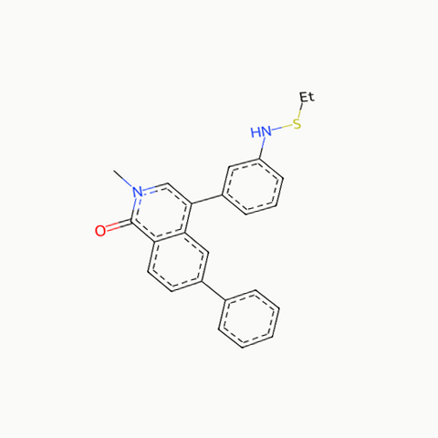 CCSNc1cccc(-c2cn(C)c(=O)c3ccc(-c4ccccc4)cc23)c1